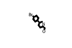 O=Cc1ccc(-c2ccc(Br)cc2)cn1